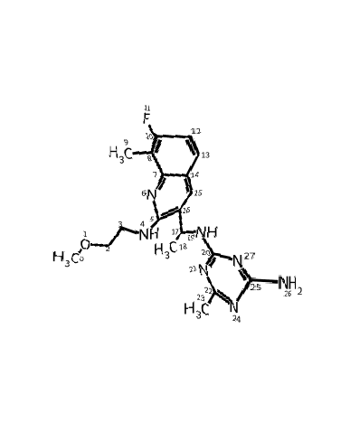 COCCNc1nc2c(C)c(F)ccc2cc1[C@H](C)Nc1nc(C)nc(N)n1